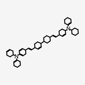 C1=CCC(N(C2=CCC(/C=C/C3C=CC(C4CCC(/C=C/C5C=CC(N(C6=CCCCC6)C6CCCCC6)CC5)CC4)CC3)C=C2)C2=CCCCC2)CC1